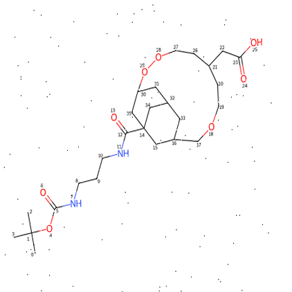 CC(C)(C)OC(=O)NCCCNC(=O)C12CC3COCCC(CC(=O)O)CCOOC(CC(C3)C1)C2